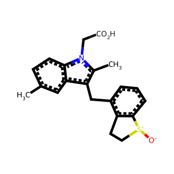 Cc1ccc2c(c1)c(Cc1cccc3c1CC[S+]3[O-])c(C)n2CC(=O)O